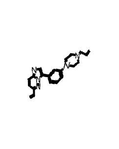 C=Cc1ccc2ncc(-c3cccc(N4CCN(CCC)CC4)c3)n2n1